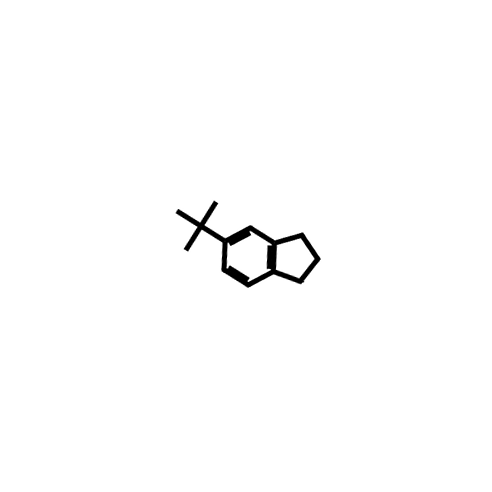 CC(C)(C)c1ccc2c(c1)CC[CH]2